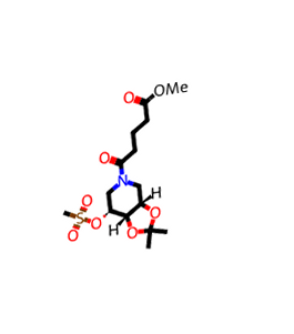 COC(=O)CCCC(=O)N1C[C@@H]2OC(C)(C)O[C@@H]2[C@H](OS(C)(=O)=O)C1